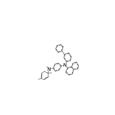 CC1=CCC(C)(N(C)c2ccc(N(c3cccc(-c4ccccc4)c3)c3cccc4ccccc34)cc2)C=C1